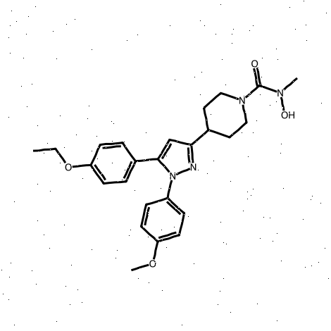 CCOc1ccc(-c2cc(C3CCN(C(=O)N(C)O)CC3)nn2-c2ccc(OC)cc2)cc1